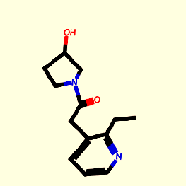 CCc1ncccc1CC(=O)N1CCC(O)C1